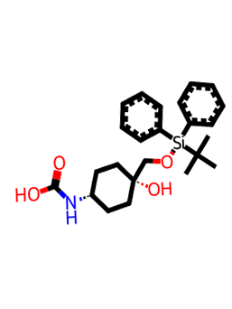 CC(C)(C)[Si](OC[C@]1(O)CC[C@@H](NC(=O)O)CC1)(c1ccccc1)c1ccccc1